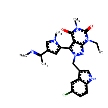 CO/N=C(\C)c1cc(-c2c3c(=O)n(C)c(=O)n(CC(C)C)c3nn2Cc2c[nH]c3ccc(Cl)cc23)n(C)c1